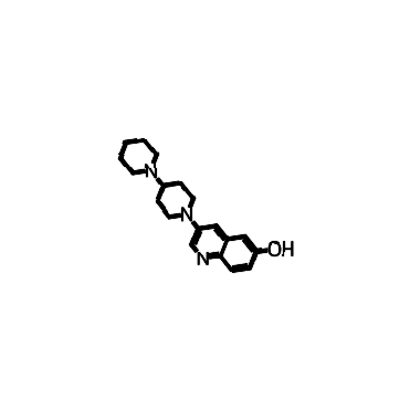 Oc1ccc2ncc(N3CCC(N4CCCCC4)CC3)cc2c1